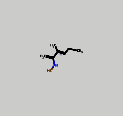 C=C(NS)/C(C)=C/CC